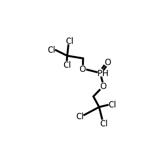 O=[PH](OCC(Cl)(Cl)Cl)OCC(Cl)(Cl)Cl